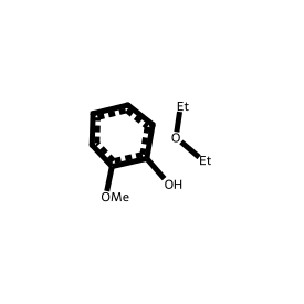 CCOCC.COc1ccccc1O